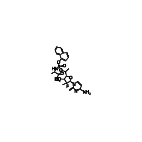 C=C1N=C(N)C=CN1[C@@H]1O[C@H](C(C)OP(=O)(NC(C)C(=O)OC)Oc2cccc3ccccc23)C(O)C1(C)F